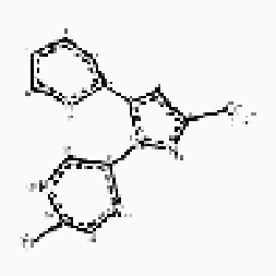 O=C(O)c1cc(-c2ccccn2)n(-c2cnc(Cl)cn2)n1